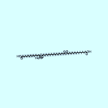 O=C(O)CCCCCCCCCCCCCCC(=O)OC(=O)CCCCCCCCCCCCCCCCC(=O)OC(CCCCCCCCCCCCCC(=O)O)C(=O)O